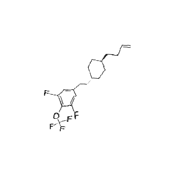 C=CCC[C@H]1CC[C@H](CCc2cc(F)c(OC(F)(F)F)c(F)c2)CC1